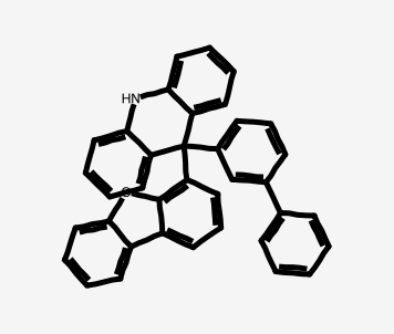 c1ccc(-c2cccc(C3(c4cccc5c4oc4ccccc45)c4ccccc4Nc4ccccc43)c2)cc1